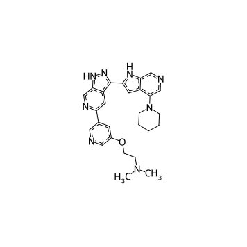 CN(C)CCOc1cncc(-c2cc3c(-c4cc5c(N6CCCCC6)cncc5[nH]4)n[nH]c3cn2)c1